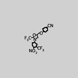 N#Cc1ccc(OCC2CN(c3ccc([N+](=O)[O-])c(C(F)(F)F)c3)C(C(F)(F)F)O2)cc1